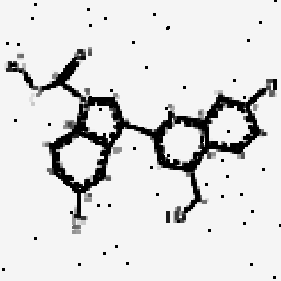 CC(C)(C)OC(=O)n1cc(-c2cc(CO)c3ccc(Cl)cc3n2)c2cc(Br)ccc21